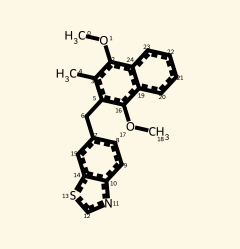 COc1c(C)c(Cc2ccc3ncsc3c2)c(OC)c2ccccc12